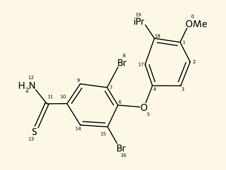 COc1ccc(Oc2c(Br)cc(C(N)=S)cc2Br)cc1C(C)C